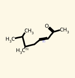 CC(=O)/C=C/C[C@H](C)C(C)C